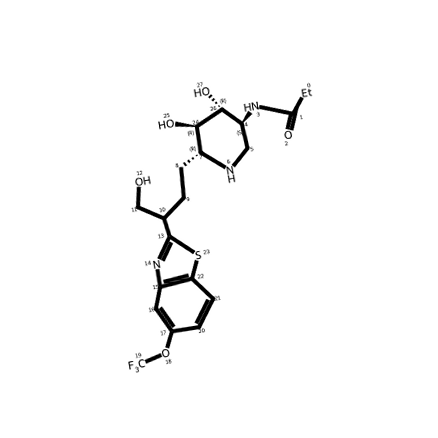 CCC(=O)N[C@H]1CN[C@H](CCC(CO)c2nc3cc(OC(F)(F)F)ccc3s2)[C@@H](O)[C@@H]1O